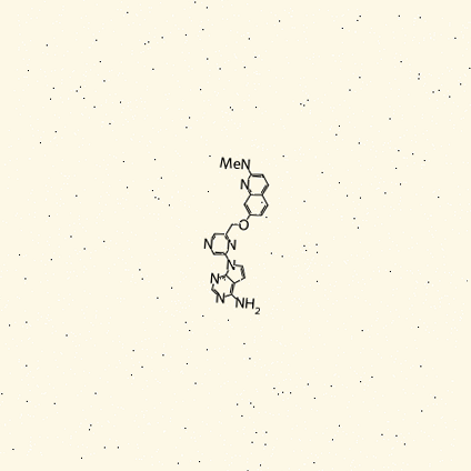 CNc1ccc2ccc(OCc3cncc(-n4ccc5c(N)ncnc54)n3)cc2n1